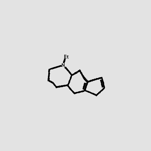 CCN1CCCC2CC3=C(C=CC3)CC21